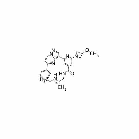 CCN[C@@H](C)CNC(=O)c1cc(-c2cnn3ccc(-c4ccccc4)nc23)nc(N2CC(OC)C2)c1